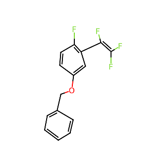 FC(F)=C(F)c1cc(OCc2ccccc2)ccc1F